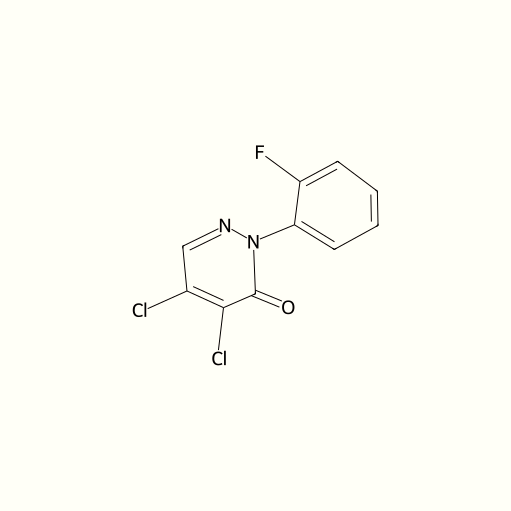 O=c1c(Cl)c(Cl)cnn1-c1ccccc1F